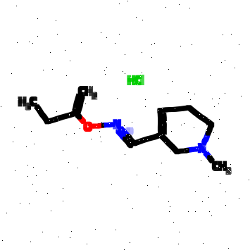 C=C(CC)O/N=C/C1=CCCN(C)C1.Cl